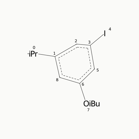 C[C](C)c1cc(I)cc(OCC(C)C)c1